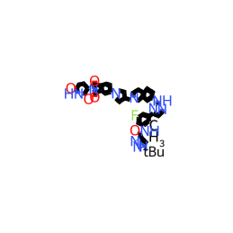 Cc1c(NC(=O)c2cn(C(C)(C)C)nn2)cc(F)cc1-c1ccnc(Nc2ccc3c(c2)CN(CC2CCN(c4ccc5c(c4)C(=O)N(C4CCC(=O)NC4=O)C5=O)CC2)CC3)n1